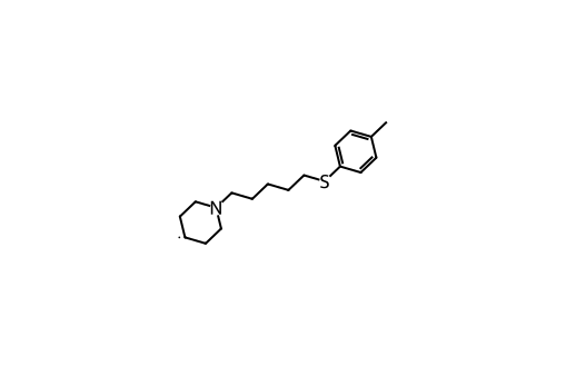 Cc1ccc(SCCCCCN2CC[CH]CC2)cc1